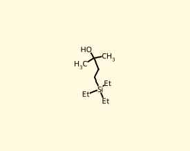 CC[Si](CC)(CC)CCC(C)(C)O